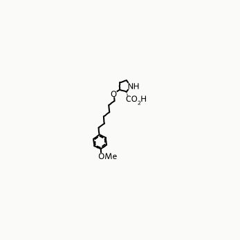 COc1ccc(CCCCCCOC2CCN[C@@H]2C(=O)O)cc1